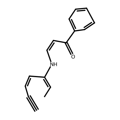 C#C/C=C\C(=C/C)N/C=C\C(=O)c1ccccc1